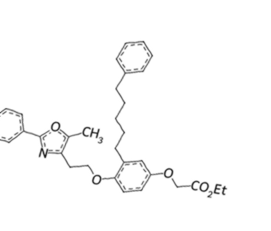 CCOC(=O)COc1ccc(OCCc2nc(-c3ccccc3)oc2C)c(CCCCCc2ccccc2)c1